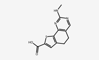 CNc1ncc2c(n1)-c1sc(C(=O)O)cc1CC2